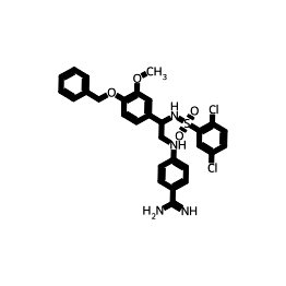 COc1cc(C(CNc2ccc(C(=N)N)cc2)NS(=O)(=O)c2cc(Cl)ccc2Cl)ccc1OCc1ccccc1